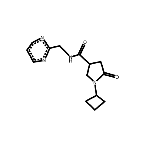 O=C(NCc1ncccn1)C1CC(=O)N(C2CCC2)C1